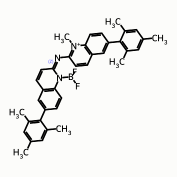 Cc1cc(C)c(-c2ccc3c(cc/c(=N/c4ccc5cc(-c6c(C)cc(C)cc6C)ccc5[n+]4C)n3B(F)F)c2)c(C)c1